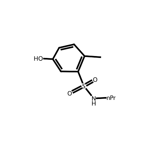 CCCNS(=O)(=O)c1cc(O)ccc1C